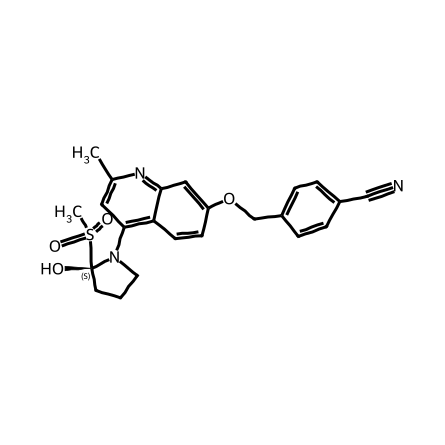 Cc1cc(N2CCC[C@]2(O)S(C)(=O)=O)c2ccc(OCc3ccc(C#N)cc3)cc2n1